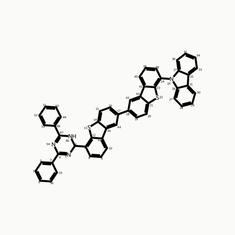 c1ccc(C2=NC(c3cccc4c3sc3ccc(-c5ccc6sc7c(-n8c9ccccc9c9ccccc98)cccc7c6c5)cc34)NC(c3ccccc3)=N2)cc1